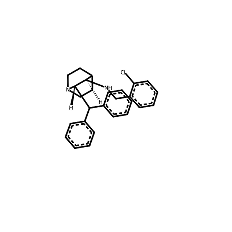 Clc1ccccc1CN[C@@H]1C2CCN(CC2)[C@H]1C(c1ccccc1)c1ccccc1